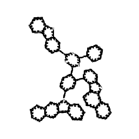 c1ccc(-c2nc(-c3ccc4c(c3)oc3ccccc34)nc(-c3ccc(-n4c5ccccc5c5cc6ccccc6cc54)cc3-c3cccc4sc5c6ccccc6ccc5c34)n2)cc1